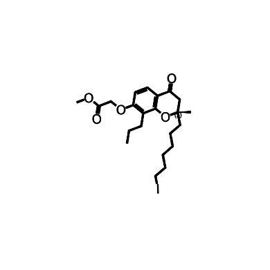 CCCc1c(OCC(=O)OC)ccc2c1O[C@@](C)(CCCCCCI)CC2=O